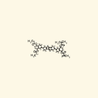 CCC(=O)OC1CCC(OC(=O)CC)c2cc(-c3ccc4c(c3)sc3c5ccc(-c6ccc7c(c6)C(OC(=O)C(C)C)CCC7OC(=O)C(C)F)cc5sc43)ccc21